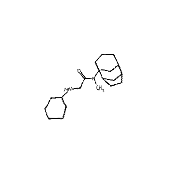 CN(C(=O)CNC1CCCCC1)C12CCCC(C1)C1CCC2C1